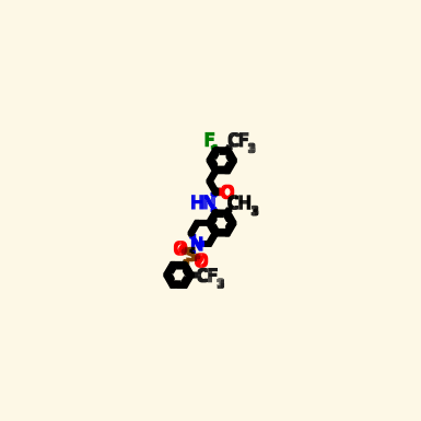 Cc1ccc2c(c1NC(=O)Cc1ccc(C(F)(F)F)c(F)c1)CCN(S(=O)(=O)c1ccccc1C(F)(F)F)C2